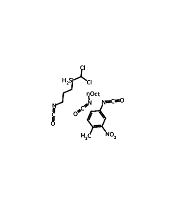 CCCCCCCCN=C=O.Cc1ccc(N=C=O)cc1[N+](=O)[O-].O=C=NCCC[SiH2]C(Cl)Cl